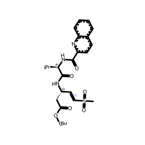 CC(C)[C@@H](NC(=O)c1ccc2ccccc2n1)C(=O)N[C@H](/C=C/S(C)(=O)=O)CC(=O)OC(C)(C)C